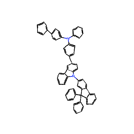 c1ccc(-c2ccc(N(c3ccccc3)c3ccc(-c4ccc5c(c4)c4ccccc4n5-c4ccc5c(c4)C(c4ccccc4)(c4ccccc4)c4ccccc4-5)cc3)cc2)cc1